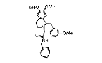 COc1cccc(CC2c3cc(OC)c(OC)cc3CCN2CC(=O)NCc2ccccc2)c1